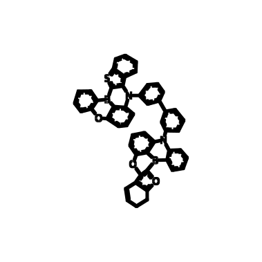 C1=Cc2c(oc3c2Oc2cccc4c2B3c2ccccc2N4c2cccc(-c3cccc(N4c5cccc6c5B(c5ccccc5O6)c5sc6ccccc6c54)c3)c2)CC1